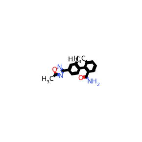 Cc1nc(-c2ccc(-c3c(C(N)=O)[c]ccc3C)c(C)c2)no1